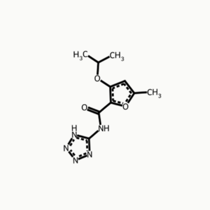 Cc1cc(OC(C)C)c(C(=O)Nc2nnn[nH]2)o1